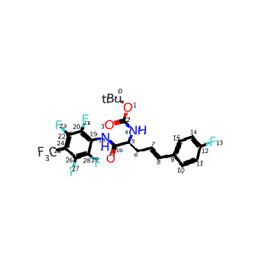 CC(C)(C)OC(=O)N[C@@H](C/C=C/c1ccc(F)cc1)C(=O)Nc1c(F)c(F)c(C(F)(F)F)c(F)c1F